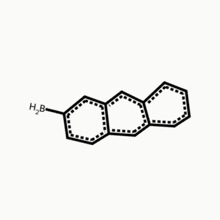 Bc1ccc2cc3ccccc3cc2c1